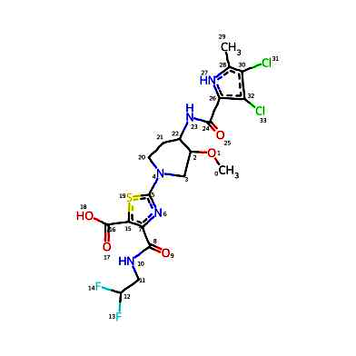 COC1CN(c2nc(C(=O)NCC(F)F)c(C(=O)O)s2)CCC1NC(=O)c1[nH]c(C)c(Cl)c1Cl